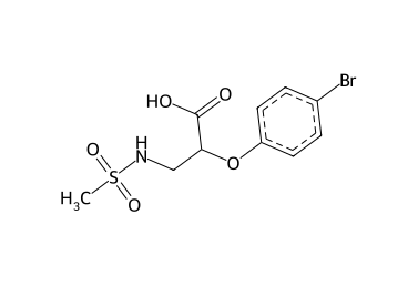 CS(=O)(=O)NCC(Oc1ccc(Br)cc1)C(=O)O